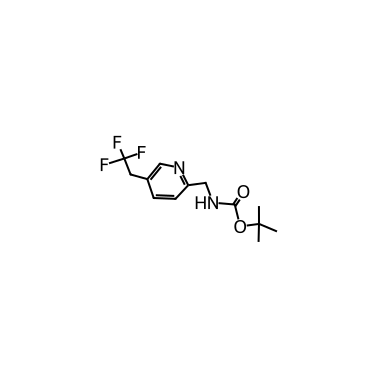 CC(C)(C)OC(=O)NCc1ccc(CC(F)(F)F)cn1